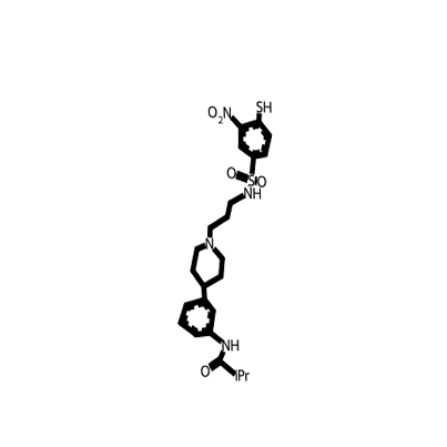 CC(C)C(=O)Nc1cccc(C2CCN(CCCNS(=O)(=O)c3ccc(S)c([N+](=O)[O-])c3)CC2)c1